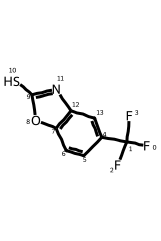 FC(F)(F)c1ccc2oc(S)nc2c1